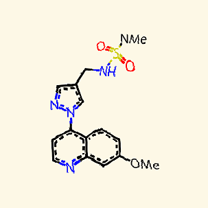 CNS(=O)(=O)NCc1cnn(-c2ccnc3cc(OC)ccc23)c1